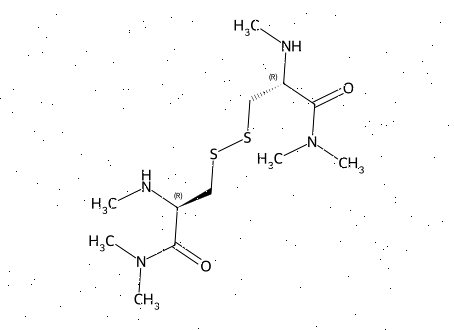 CN[C@@H](CSSC[C@H](NC)C(=O)N(C)C)C(=O)N(C)C